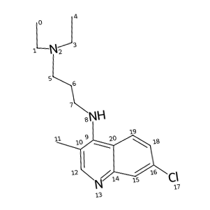 CCN(CC)CCCNc1c(C)cnc2cc(Cl)ccc12